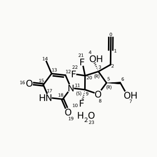 C#CC[C@@]1(O)[C@@H](CO)O[C@@](F)(n2cc(C)c(=O)[nH]c2=O)C1(F)F.O